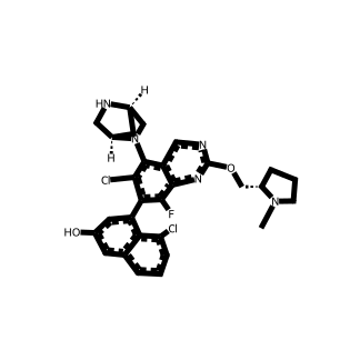 CN1CCC[C@H]1COc1ncc2c(N3C[C@H]4C[C@@H]3CN4)c(Cl)c(-c3cc(O)cc4cccc(Cl)c34)c(F)c2n1